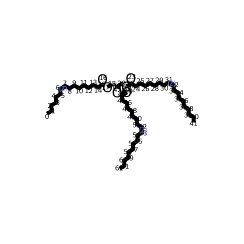 CCCCCC/C=C\CCCCCCCC(=O)OC[C@H](COC(=O)CCCCCCC/C=C\CCCCCCCCC)OC(=O)CCCCCCC/C=C\CCCCCCCCC